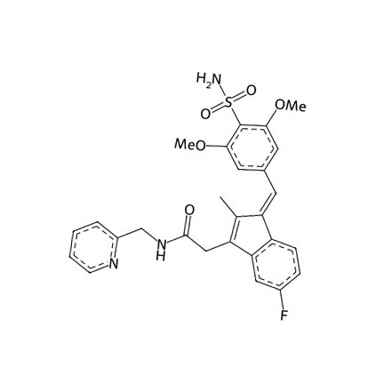 COc1cc(C=C2C(C)=C(CC(=O)NCc3ccccn3)c3cc(F)ccc32)cc(OC)c1S(N)(=O)=O